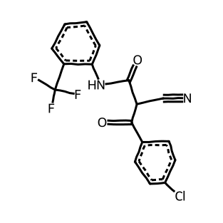 N#CC(C(=O)Nc1ccccc1C(F)(F)F)C(=O)c1ccc(Cl)cc1